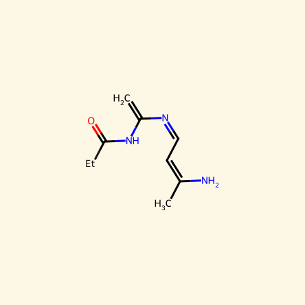 C=C(/N=C\C=C(\C)N)NC(=O)CC